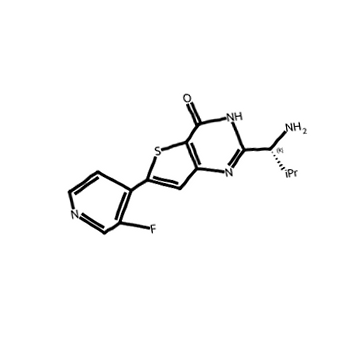 CC(C)[C@@H](N)c1nc2cc(-c3ccncc3F)sc2c(=O)[nH]1